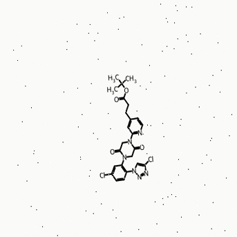 CC(C)(C)OC(=O)CCc1ccnc(N2CC(=O)N(c3cc(Cl)ccc3-n3cc(Cl)nn3)CC2=O)c1